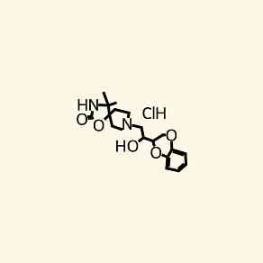 CC1(C)NC(=O)OC12CCN(CC(O)C1COc3ccccc3O1)CC2.Cl